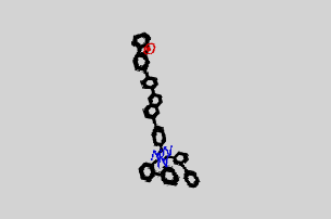 c1ccc(-c2cccc(-c3nc(-c4ccc(-c5ccc6cc(-c7ccc(-c8ccc9c(c8)oc8ccccc89)cc7)ccc6c5)cc4)nc(-c4ccccc4-c4ccccc4)n3)c2)cc1